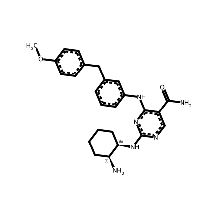 COc1ccc(Cc2cccc(Nc3nc(N[C@@H]4CCCC[C@@H]4N)ncc3C(N)=O)c2)cc1